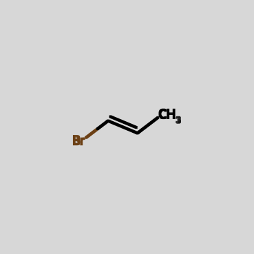 CC=CBr